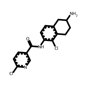 NC1CCc2c(ccc(NC(=O)c3ccc(Cl)nc3)c2Cl)C1